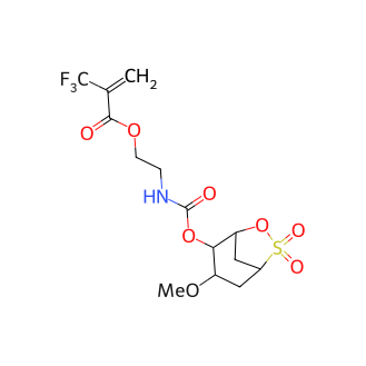 C=C(C(=O)OCCNC(=O)OC1C(OC)CC2CC1OS2(=O)=O)C(F)(F)F